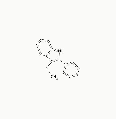 CCc1c(-c2ccccc2)[nH]c2ccccc12